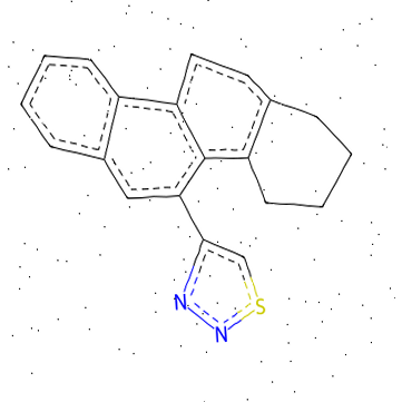 c1ccc2c(c1)cc(-c1csnn1)c1c3c(ccc12)CCCC3